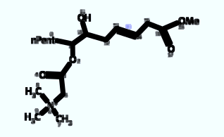 CCCCCC(OC(=O)C[N+](C)(C)C)C(O)C/C=C/CC(=O)OC